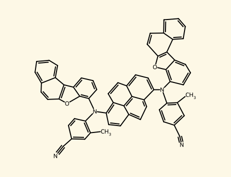 Cc1cc(C#N)ccc1N(c1ccc2ccc3c(N(c4ccc(C#N)cc4C)c4cccc5c4oc4ccc6ccccc6c45)ccc4ccc1c2c43)c1cccc2c1oc1ccc3ccccc3c12